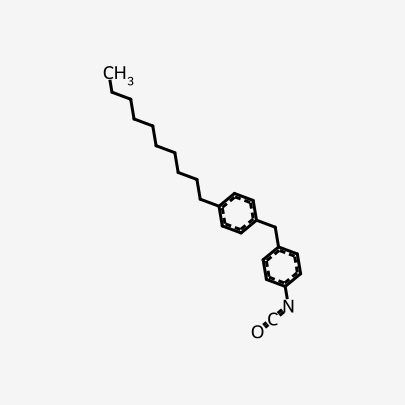 CCCCCCCCCCc1ccc(Cc2ccc(N=C=O)cc2)cc1